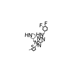 Cc1ccc(-c2nc3cnc(NCc4ccc(F)c(F)c4)nc3n2C[C@@H]2CCCNC2)s1